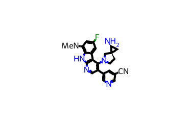 CNc1cc(F)cc2c1[nH]c1ncc(-c3cncc(C#N)c3)c(N3CC[C@@]4(C[C@H]4N)C3)c12